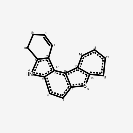 C1=Cc2c([nH]c3ccc4sc5ccccc5c4c23)CC1